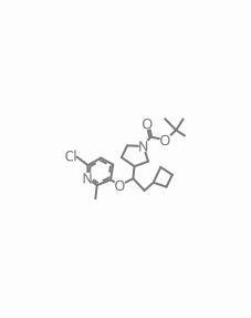 Cc1nc(Cl)ccc1OC(CC1CCC1)C1CCN(C(=O)OC(C)(C)C)C1